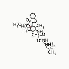 C=N/C(=C\C=C/C)P(=O)(C(=O)c1c(C)cc(C)c(NCC(=O)C(=O)NCNCC(C)C)c1C)c1ccccc1